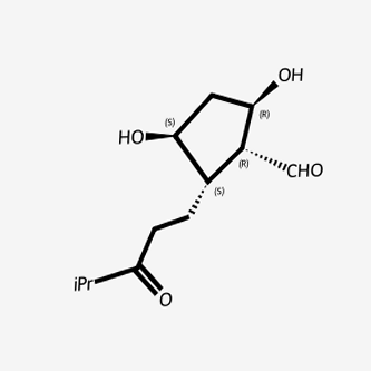 CC(C)C(=O)CC[C@H]1[C@@H](C=O)[C@H](O)C[C@@H]1O